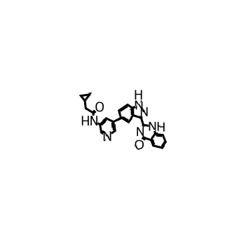 O=C(CC1CC1)Nc1cncc(-c2ccc3[nH]nc(-c4nc(=O)c5ccccc5[nH]4)c3c2)c1